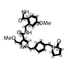 COCc1nn(Cc2ccc(Cn3ccccc3=O)cc2)cc1C(=O)NCc1cc(OC)ccc1C(N)=O